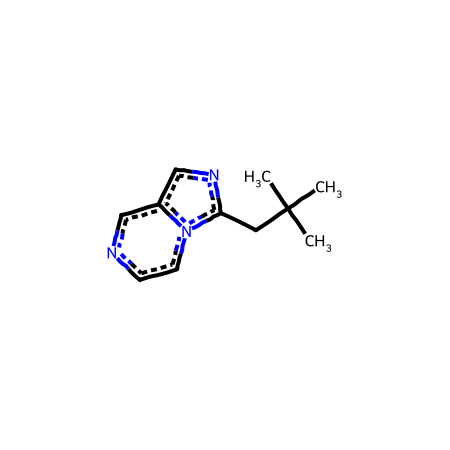 CC(C)(C)Cc1ncc2cnccn12